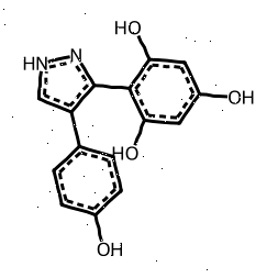 Oc1ccc(-c2c[nH]nc2-c2c(O)cc(O)cc2O)cc1